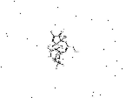 CC1=C[C@@H]2C(O)(CC(CO)=CC3C4C(C)(C)[C@]4(O)C[C@@H](C)[C@@]32O)C1=O